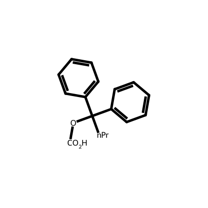 CCCC(OC(=O)O)(c1ccccc1)c1ccccc1